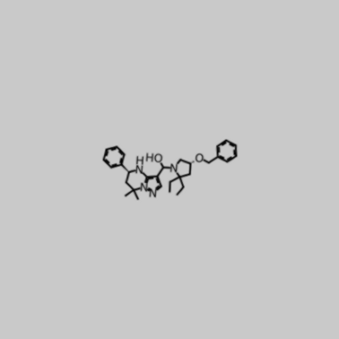 CCC1(CC)C[C@@H](OCc2ccccc2)CN1C(O)c1cnn2c1N[C@H](c1ccccc1)CC2(C)C